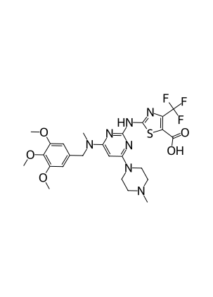 COc1cc(CN(C)c2cc(N3CCN(C)CC3)nc(Nc3nc(C(F)(F)F)c(C(=O)O)s3)n2)cc(OC)c1OC